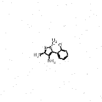 Cn1nc(N)c(N)c1-c1ccccc1Cl